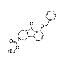 CC(C)(C)OC(=O)N1CCN2C(=O)c3c(OCc4ccccc4)cccc3C2C1